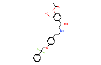 CC(=O)Oc1ccc([C@@H](O)CN[C@H](C)Cc2ccc(OCC(F)(F)c3ccccc3)cc2)cc1CO